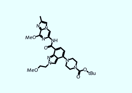 COCCn1cc2c(N3CCN(C(=O)OC(C)(C)C)CC3)ccc(C(=O)Nc3cn4cc(C)nc4c(OC)n3)c2n1